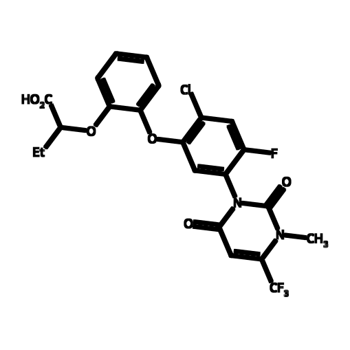 CCC(Oc1ccccc1Oc1cc(-n2c(=O)cc(C(F)(F)F)n(C)c2=O)c(F)cc1Cl)C(=O)O